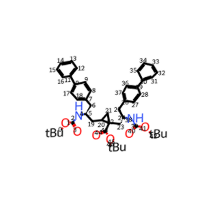 CC(C)(C)OC(=O)N[C@@H](Cc1ccc(-c2ccccc2)cc1)CC1CC1(C[C@H](Cc1ccc(-c2ccccc2)cc1)NC(=O)OC(C)(C)C)C(=O)OC(C)(C)C